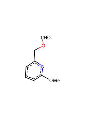 COc1cccc(COC=O)n1